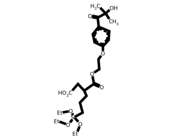 CCO[Si](CCCC(CC(=O)O)C(=O)OCCOc1ccc(C(=O)C(C)(C)O)cc1)(OCC)OCC